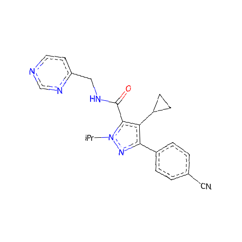 CC(C)n1nc(-c2ccc(C#N)cc2)c(C2CC2)c1C(=O)NCc1ccncn1